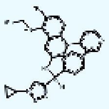 [2H][C@](Nc1cc(-c2ccncc2)c2ncc(C#N)c(NCC(C)(C)C)c2c1)(c1ccc(F)cc1)c1cn(C2CC2)nn1